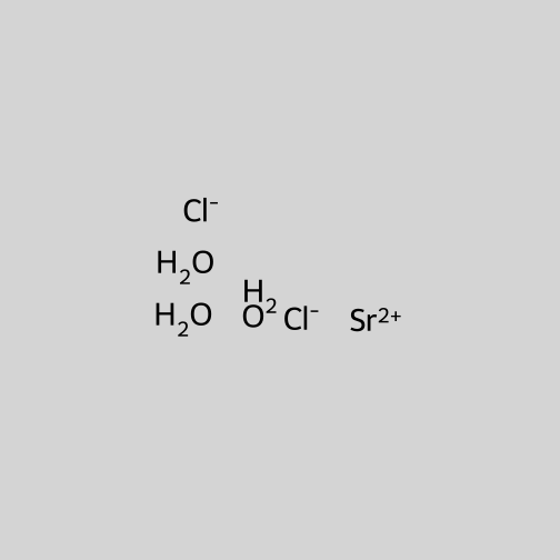 O.O.O.[Cl-].[Cl-].[Sr+2]